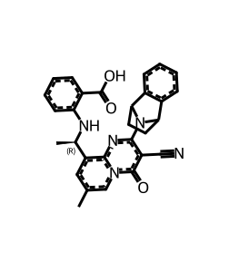 Cc1cc([C@@H](C)Nc2ccccc2C(=O)O)c2nc(N3C4CCC3c3ccccc34)c(C#N)c(=O)n2c1